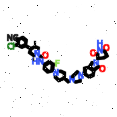 C[C@@H]1CC(c2ccc(C#N)c(Cl)c2)[C@@H](C)CN1C(=O)Nc1ccc(N2CCC(CN3CCN(c4ccc5c(c4)CN([C@H]4CCC(=O)NC4=O)C5=O)CC3)CC2)c(F)c1